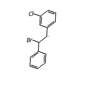 Clc1cccc([CH]C(Br)c2ccccc2)c1